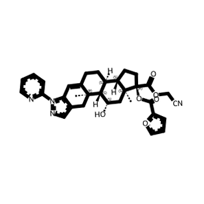 C[C@]12Cc3cnn(-c4ccccn4)c3C=C1CC[C@@H]1[C@@H]2[C@@H](O)C[C@@]2(C)[C@H]1CC[C@]2(OC(=O)c1ccco1)C(=O)OCC#N